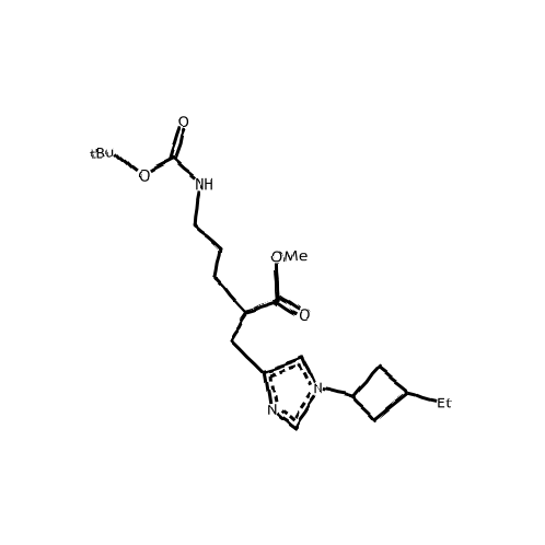 CCC1CC(n2cnc(CC(CCCNC(=O)OC(C)(C)C)C(=O)OC)c2)C1